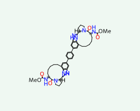 COC(=O)N[C@H]1CCCCCc2cc(-c3ccc(-c4cc5c6[nH]c(nc6c4)[C@@H]4CCCN4C(=O)[C@@H](NC(=O)OC)CCCCC5)cc3)cc3nc([nH]c23)[C@@H]2CCCN2C1=O